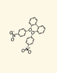 O=[N+]([O-])c1ccc(Oc2ccccc2-c2ccccc2Oc2ccc([N+](=O)[O-])cc2)cc1